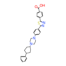 O=C(O)c1ccc(-c2nnc(-c3ccc(N4CCN(C5CCC(c6ccccc6)CC5)CC4)cc3)s2)cc1